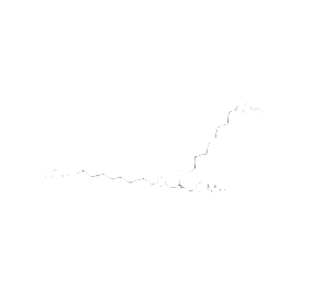 CCCCCCCCCCCCCCCCCCOC[C@H](COC)OCCCCCCCCCCCCCCCCCC